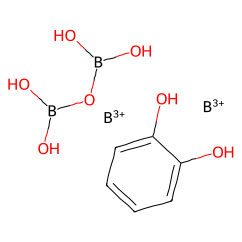 OB(O)OB(O)O.Oc1ccccc1O.[B+3].[B+3]